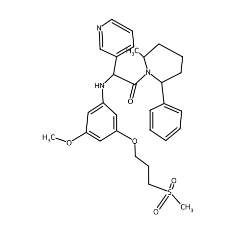 COc1cc(NC(C(=O)N2C(C)CCCC2c2ccccc2)c2cccnc2)cc(OCCCS(C)(=O)=O)c1